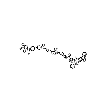 O=C(CCOCCC(=O)N1CCN(c2ccc(NC3CCC(=O)NC3=O)cc2)CC1)NCCOCCNC(=O)c1cc(NC(=O)c2cc(-c3ccccn3)c(Cl)cc2Cl)n(-c2ccccc2)n1